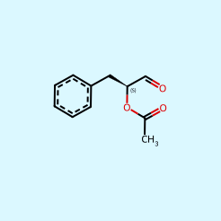 CC(=O)O[C@H](C=O)Cc1ccccc1